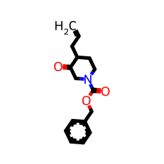 C=CCC1CCN(C(=O)OCc2ccccc2)CC1=O